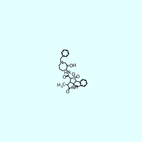 CC1C(=O)NC23C=Cc4ccccc4C2S(=O)(=O)[C](C(=O)NC2CCCN(Cc4ccccc4)C[C@@H]2O)C13